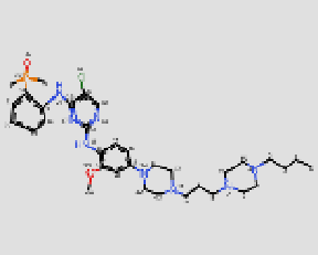 CCCCN1CCN(CCCN2CCN(c3ccc(Nc4ncc(Cl)c(Nc5ccccc5P(C)(C)=O)n4)c(OC)c3)CC2)CC1